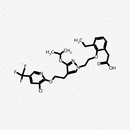 CCc1cccc(CC(=O)O)c1OCCn1cc(CCOc2ncc(C(F)(F)F)cc2Cl)c(OC(C)C)n1